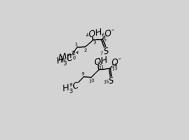 CCCC(O)C([O-])=S.CCCC(O)C([O-])=S.[Mn+2]